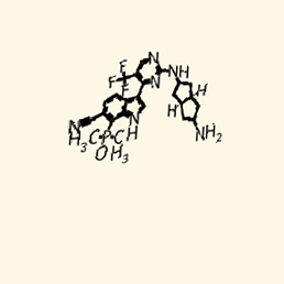 CP(C)(=O)c1c(C#N)ccc2c(-c3nc(NC4C[C@H]5CC(N)C[C@H]5C4)ncc3C(F)(F)F)c[nH]c12